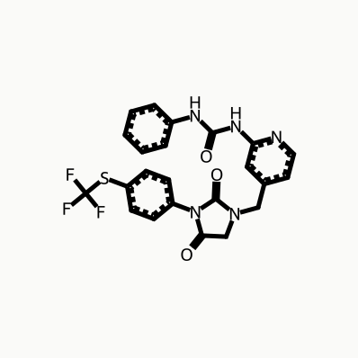 O=C(Nc1ccccc1)Nc1cc(CN2CC(=O)N(c3ccc(SC(F)(F)F)cc3)C2=O)ccn1